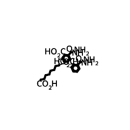 NNC(=O)c1ccccc1C(=O)O.NNC(=O)c1ccccc1C(=O)O.O=C(O)CCCCCCCCC(=O)O